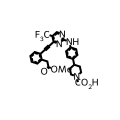 COC(=O)Cc1ccccc1C#Cc1nc(Nc2ccc(C3CCN(C(=O)O)CC3)cc2)ncc1C(F)(F)F